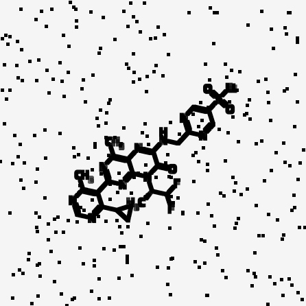 CCS(=O)(=O)c1cnc(CNc2nc3c(C)nc(-c4c(C)ncnc4C4CC4)nc3n([C@H](C)C(F)F)c2=O)nc1